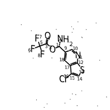 NC(OC(=O)C(F)(F)F)c1cnc2scc(Cl)c2c1